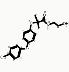 CC(C)(Oc1ccc(Sc2ccc(Cl)cc2)cc1)C(=O)NCCO